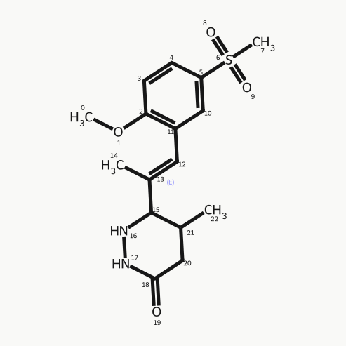 COc1ccc(S(C)(=O)=O)cc1/C=C(\C)C1NNC(=O)CC1C